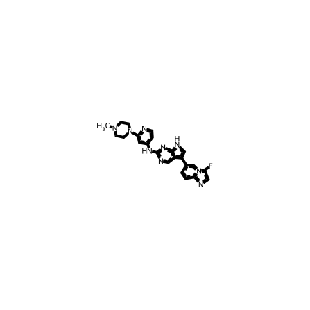 CN1CCN(c2cc(Nc3ncc4c(-c5ccc6ncc(F)n6c5)c[nH]c4n3)ccn2)CC1